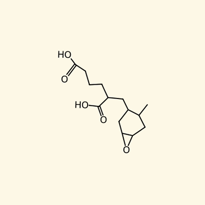 CC1CC2OC2CC1CC(CCCC(=O)O)C(=O)O